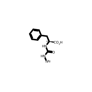 CCCNC(=O)N[C@@H](Cc1ccccc1)C(=O)O